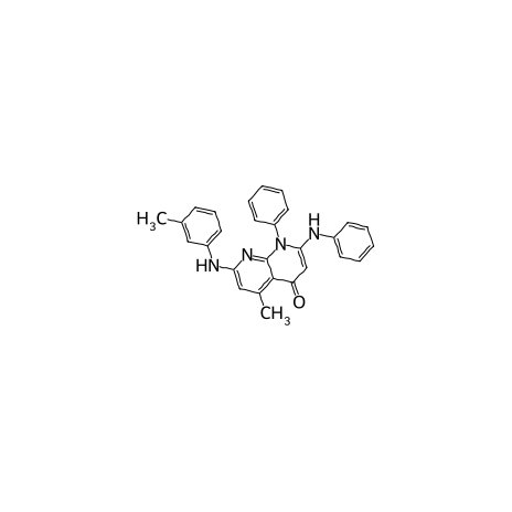 Cc1cccc(Nc2cc(C)c3c(=O)cc(Nc4ccccc4)n(-c4ccccc4)c3n2)c1